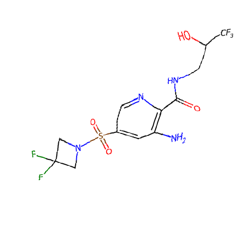 Nc1cc(S(=O)(=O)N2CC(F)(F)C2)cnc1C(=O)NCC(O)C(F)(F)F